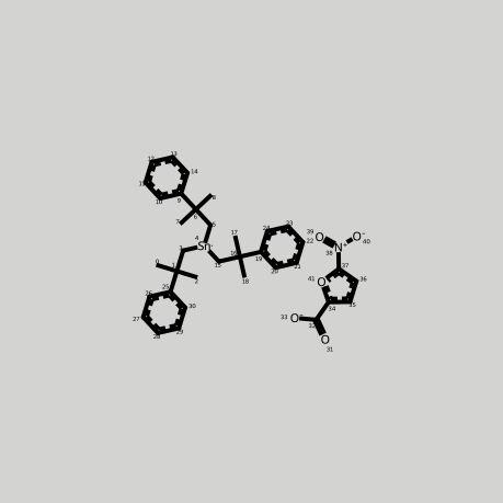 CC(C)([CH2][Sn]([CH2]C(C)(C)c1ccccc1)[CH2]C(C)(C)c1ccccc1)c1ccccc1.O=C([O-])c1ccc([N+](=O)[O-])o1